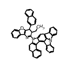 CCC1C(n2c3ccc4ccccc4c3c3c4c5ccccc5n5c6ccccc6c(cc32)c45)=Nc2c(oc3ccccc23)C1c1ccc2ccccc2c1